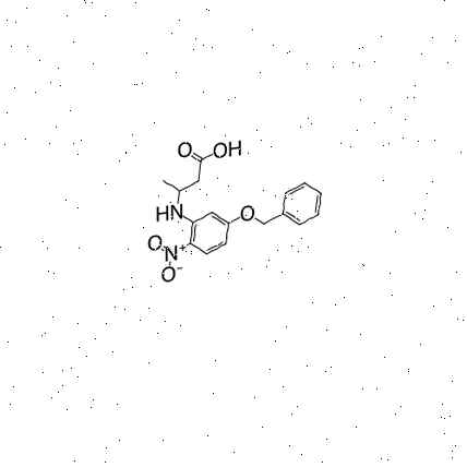 CC(CC(=O)O)Nc1cc(OCc2ccccc2)ccc1[N+](=O)[O-]